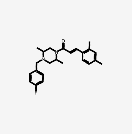 Cc1ccc(C=CC(=O)N2CC(C)N(Cc3ccc(F)cc3)CC2C)c(C)c1